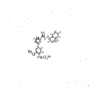 CCOc1cc(-c2cc(NCCc3ccc(C)c4ccccc34)ncn2)ccc1CC(=O)O